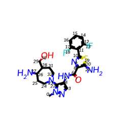 Cn1ncc(NC(=O)c2nc(-c3c(F)cccc3F)sc2N)c1N1CCC(N)C(CO)CC1